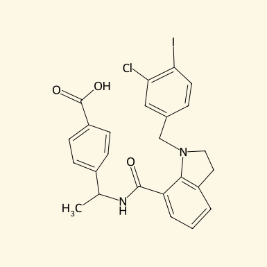 CC(NC(=O)c1cccc2c1N(Cc1ccc(I)c(Cl)c1)CC2)c1ccc(C(=O)O)cc1